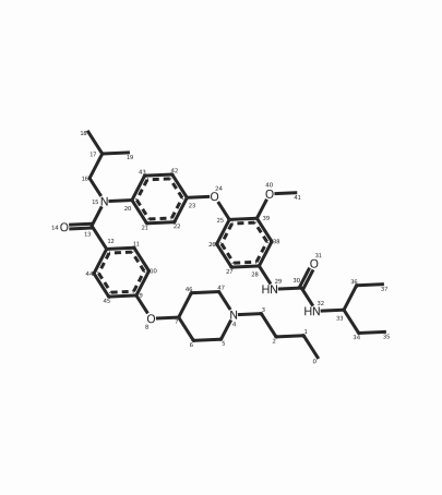 CCCCN1CCC(Oc2ccc(C(=O)N(CC(C)C)c3ccc(Oc4ccc(NC(=O)NC(CC)CC)cc4OC)cc3)cc2)CC1